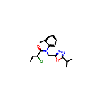 CCC(Cl)C(=O)N(Cc1nnc(C(C)C)o1)c1ccccc1C